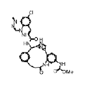 C=N/N=C\N(N)c1ccc(Cl)cc1/C=C/C(=O)NC1c2cccc(c2)CCC(=O)Nc2cc(NC(=O)OC)ccc2-c2c[nH]c1n2